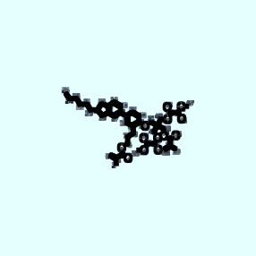 C=C(C)C(=O)OCCCc1cc(-c2ccc3c(c2)CC(CCCCCC)C3)ccc1OCC(COC(=O)C(=C)C)(COC(=O)C(=O)OC)COC(=O)C(=O)OC